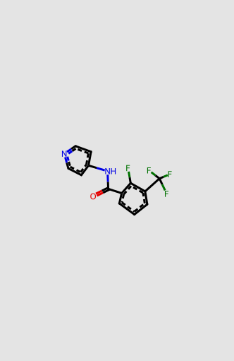 O=C(Nc1ccncc1)c1cccc(C(F)(F)F)c1F